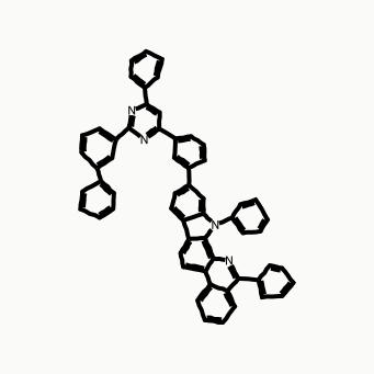 c1ccc(-c2cccc(-c3nc(-c4ccccc4)cc(-c4cccc(-c5ccc6c7ccc8c9ccccc9c(-c9ccccc9)nc8c7n(-c7ccccc7)c6c5)c4)n3)c2)cc1